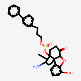 CC1C(N)CCC23c4cccc(O)c4OC2C(=O)CCC13OS(=O)OCCCc1ccc(-c2ccccc2)cc1